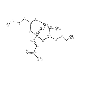 CCCCC(CC)CP(=O)(C=CC(N)=O)CC(CC)CCCC